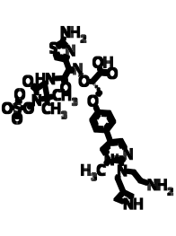 C[n+]1cc(-c2ccc(OC[C@H](O/N=C(\C(=O)N[C@@H]3C(=O)N(OS(=O)(=O)[O-])C3(C)C)c3csc(N)n3)C(=O)O)cc2)cnc1N(CCN)CC1CNC1